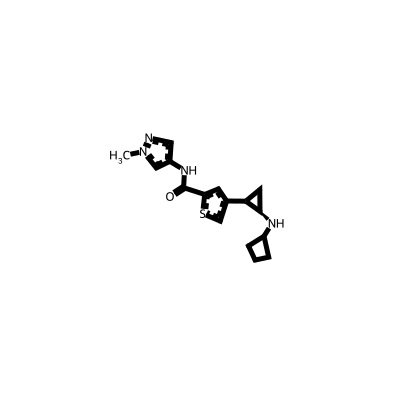 Cn1cc(NC(=O)c2cc(C3C[C@H]3NC3CCC3)cs2)cn1